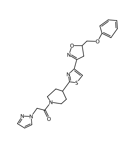 O=C(Cn1cccn1)N1CCC(c2nc(C3=NOC(COc4ccccc4)C3)cs2)CC1